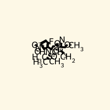 C=CC[C@](C#N)(COC)S(=O)(=O)C[C@](C)(N[S@+]([O-])C(C)(C)C)c1cc([N+](=O)[O-])ccc1F